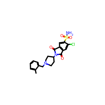 Cc1ccccc1CN1CCC(N2C(=O)c3cc(Cl)c(S(N)(=O)=O)cc3C2=O)CC1